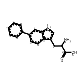 NC(Cc1c[nH]c2cc(-c3ccccc3)ccc12)C(=O)O